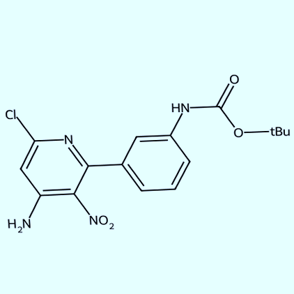 CC(C)(C)OC(=O)Nc1cccc(-c2nc(Cl)cc(N)c2[N+](=O)[O-])c1